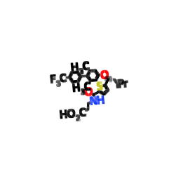 Cc1cc(O[C@H](CC(C)C)c2ccc(C(=O)NCCC(=O)O)s2)cc(C)c1-c1ccc(C(F)(F)F)cc1